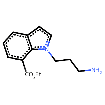 CCOC(=O)c1cccc2ccn(CCCN)c12